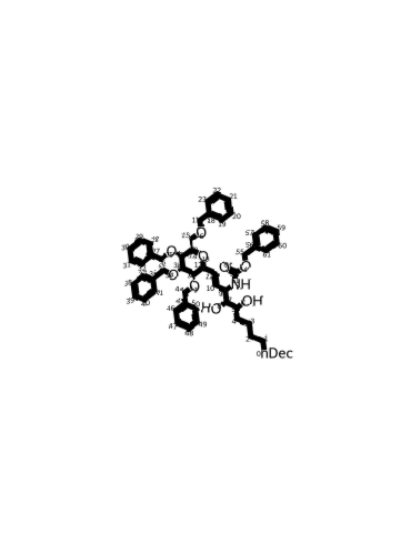 CCCCCCCCCCCCCCC(O)C(O)C(C=CC1O[C@H](COCc2ccccc2)[C@H](OCc2ccccc2)[C@H](OCc2ccccc2)[C@H]1OCc1ccccc1)NC(=O)OCc1ccccc1